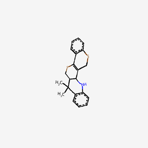 CC1(C)c2ccccc2NC2C3=C(SCC21)c1ccccc1SC3